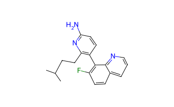 CC(C)CCc1nc(N)ccc1-c1c(F)ccc2cccnc12